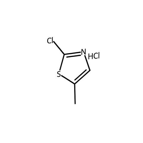 Cc1cnc(Cl)s1.Cl